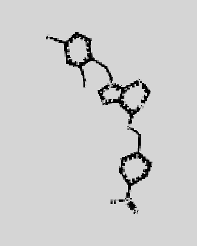 O=[N+]([O-])c1ccc(CSc2ncnc3c2ncn3Cc2ccc(F)cc2F)cc1